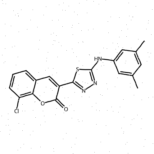 Cc1cc(C)cc(Nc2nnc(-c3cc4cccc(Cl)c4oc3=O)s2)c1